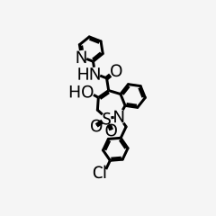 O=C(Nc1ccccn1)C1=C(O)CS(=O)(=O)N(Cc2ccc(Cl)cc2)c2ccccc21